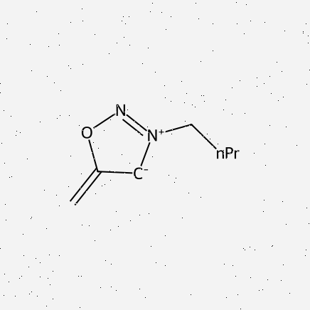 C=C1[CH-][N+](CCCC)=NO1